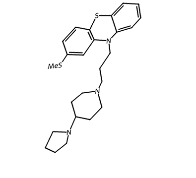 CSc1ccc2c(c1)N(CCCN1CCC(N3CCCC3)CC1)c1ccccc1S2